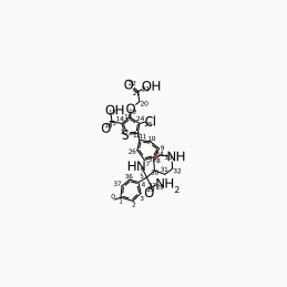 Cc1ccc(C(Nc2cccc(-c3sc(C(=O)O)c(OCC(=O)O)c3Cl)c2)(C(N)=O)C2CCNCC2)cc1